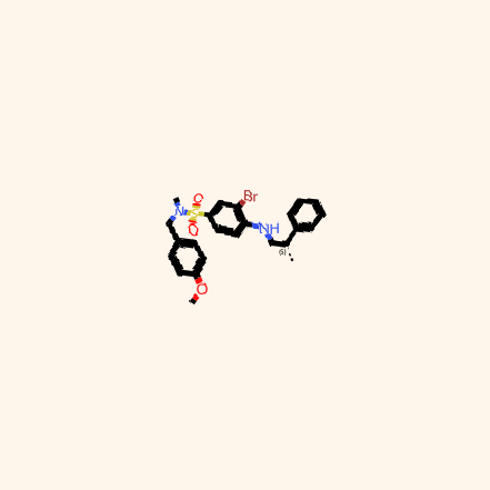 COc1ccc(CN(C)S(=O)(=O)c2ccc(NC[C@@H](C)c3ccccc3)c(Br)c2)cc1